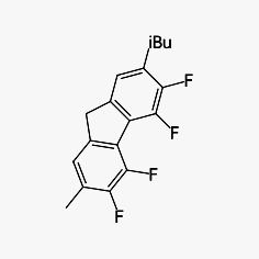 CCC(C)c1cc2c(c(F)c1F)-c1c(cc(C)c(F)c1F)C2